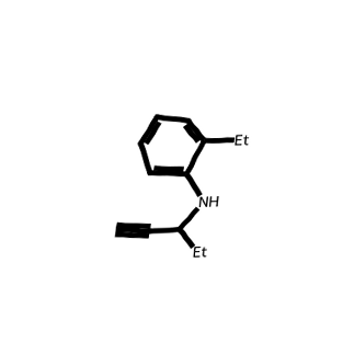 C#CC(CC)Nc1ccccc1CC